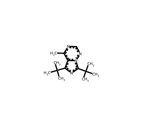 Cc1ncnn2c(C(C)(C)C)nc(C(C)(C)C)c12